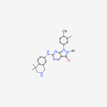 Cc1cc(-n2c3nc(Nc4ccc5c(c4)CNCC5(C)C)ncc3c(=O)n2C(C)C)ccc1C#N